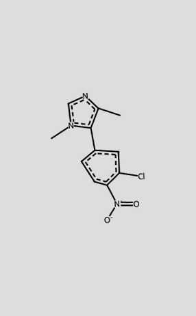 Cc1ncn(C)c1-c1ccc([N+](=O)[O-])c(Cl)c1